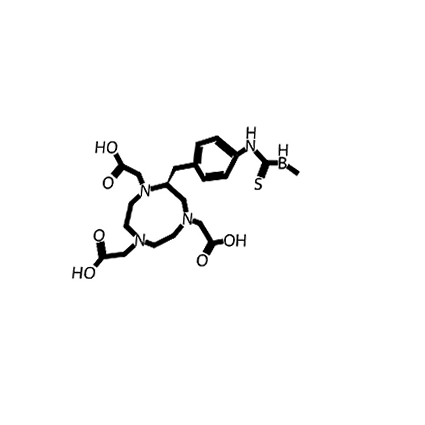 CBC(=S)Nc1ccc(C[C@H]2CN(CC(=O)O)CCN(CC(=O)O)CCN2CC(=O)O)cc1